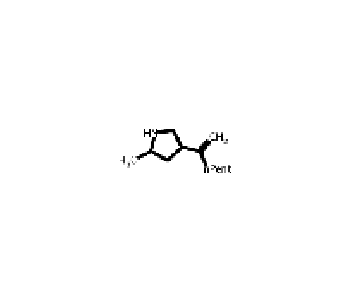 C=C(CCCCC)C1CNC(C)C1